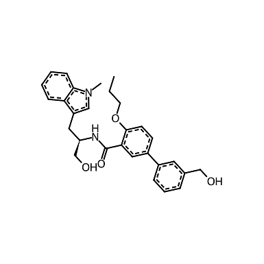 CCCOc1ccc(-c2cccc(CO)c2)cc1C(=O)N[C@@H](CO)Cc1cn(C)c2ccccc12